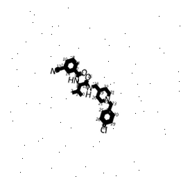 CC(C)[C@H](NC(=O)c1cccc(C#N)c1)C(=O)NCC1CCN(Cc2ccc(Cl)cc2)CC1